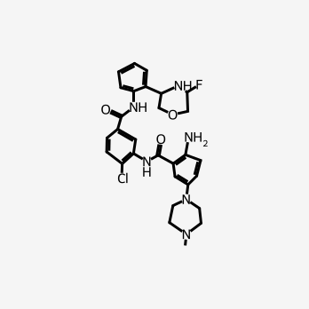 CN1CCN(c2ccc(N)c(C(=O)Nc3cc(C(=O)Nc4ccccc4C4COCC(F)N4)ccc3Cl)c2)CC1